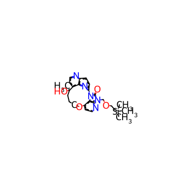 CC1(O)CCCOc2ccnc3c2n(c(=O)n3COCC[Si](C)(C)C)-c2ccc3nccc1c3n2